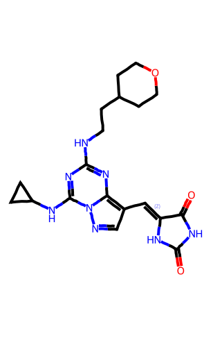 O=C1NC(=O)/C(=C/c2cnn3c(NC4CC4)nc(NCCC4CCOCC4)nc23)N1